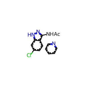 CC(=O)Nc1n[nH]c2cc(Cl)ccc12.c1ccncc1